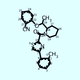 Cc1ccccc1-c1csc(C(=O)N2CCCCC2C(C)Oc2ccccc2C#N)n1